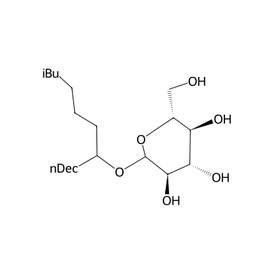 CCCCCCCCCCC(CCCC(C)CC)OC1O[C@H](CO)[C@@H](O)[C@H](O)[C@H]1O